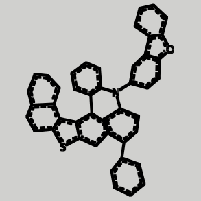 c1ccc(-c2ccc(N(c3ccc4oc5ccccc5c4c3)c3ccccc3-c3cccc4sc5ccc6ccccc6c5c34)cc2)cc1